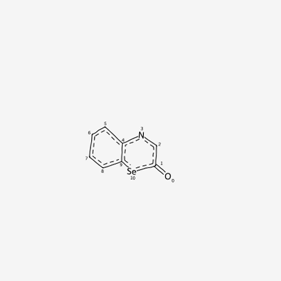 O=c1cnc2ccccc2[se]1